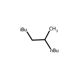 [CH2]CCCC(C)CC(C)C[CH2]